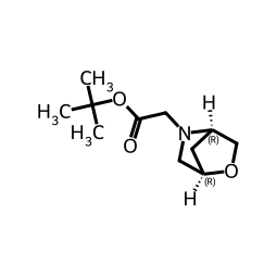 CC(C)(C)OC(=O)CN1C[C@H]2C[C@@H]1CO2